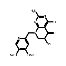 COc1cnc(CN2CC(C(C)C)C(=O)c3c(Cl)nc(N)nc32)cc1OC